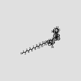 CCCCCCCCCCCCCCCCOCC(COP(=O)([O-])OC1C[N+]2(C)C=C1C=CC2)OC(C)=O